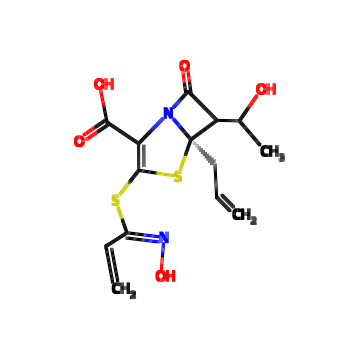 C=CC[C@]12SC(SC(C=C)=NO)=C(C(=O)O)N1C(=O)C2C(C)O